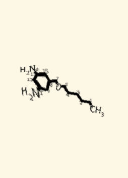 CCCCCCOCc1cc(N)cc(N)c1